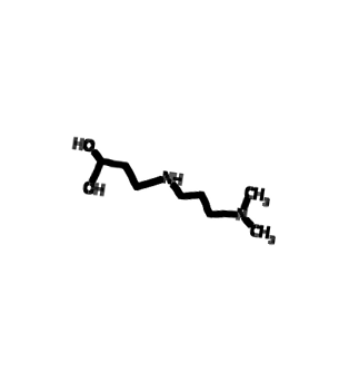 CN(C)CCCNCCC(O)O